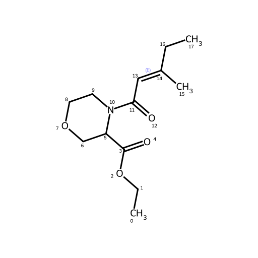 CCOC(=O)C1COCCN1C(=O)/C=C(\C)CC